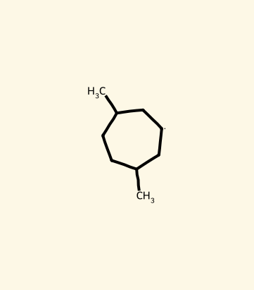 CC1C[CH]CC(C)CC1